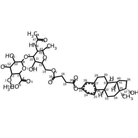 COC1C(C(=O)O)OC(OC2C(O)C(COC(=O)CCC(=O)Oc3ccc4c(c3)CC[C@@H]3[C@@H]4CC[C@]4(C)[C@@H](O)CC[C@@H]34)OC(C)C2NC(C)=O)C(O)C1O